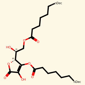 CCCCCCCCCCCCCCCC(=O)OC[C@H](O)[C@H]1OC(=O)C(O)=C1OC(=O)CCCCCCCCCCCCCCC